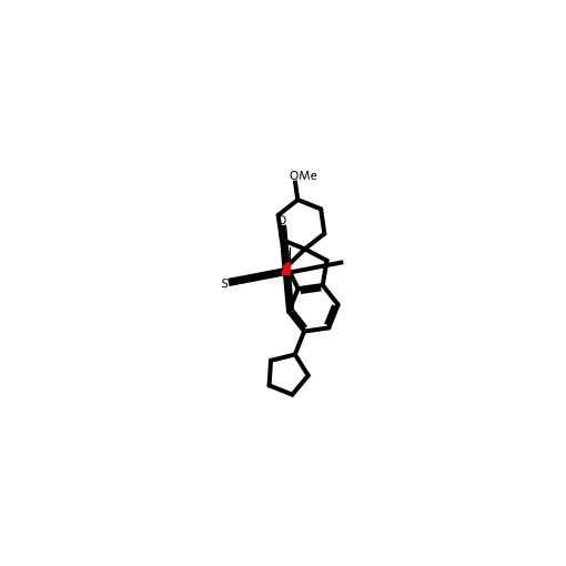 COC1CCC2(CC1)Cc1ccc(C3CCCC3)cc1C21NC(=S)NC1=O